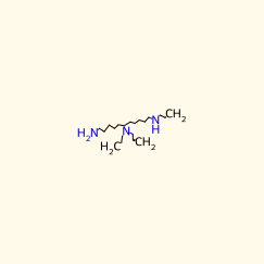 C=CCNCCCCCC(CCCCCN)N(CC=C)CC=C